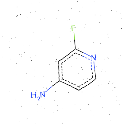 Nc1[c]c(F)ncc1